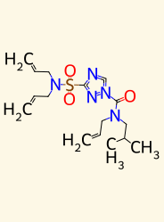 C=CCN(CC(C)C)C(=O)n1cnc(S(=O)(=O)N(CC=C)CC=C)n1